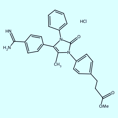 COC(=O)CCc1ccc(-n2c(C)c(-c3ccc(C(=N)N)cc3)n(-c3ccccc3)c2=O)cc1.Cl